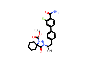 CC(C)(C)OC(=O)NC1(C(=O)N[C@H](C#N)Cc2ccc(-c3ccc(C(N)=O)c(F)c3)cc2)CCCCC1